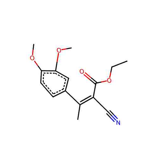 CCOC(=O)C(C#N)=C(C)c1ccc(OC)c(OC)c1